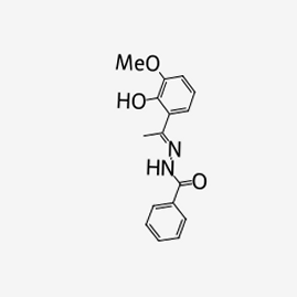 COc1cccc(/C(C)=N/NC(=O)c2ccccc2)c1O